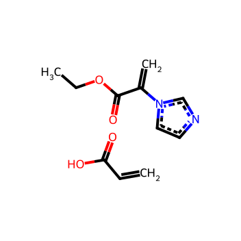 C=C(C(=O)OCC)n1ccnc1.C=CC(=O)O